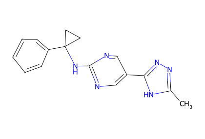 Cc1nnc(-c2cnc(NC3(c4ccccc4)CC3)nc2)[nH]1